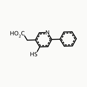 O=C(O)Cc1cnc(-c2ccccc2)cc1S